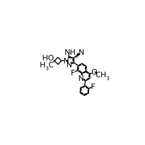 COc1cc(-c2ccccc2F)nc2c(F)c(-c3nn(C4CC(C)(O)C4)c(N)c3C#N)ccc12